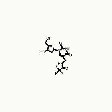 O=C(NCc1cn(C2CC(O)C(CO)O2)c(=O)[nH]c1=O)C(F)(F)F